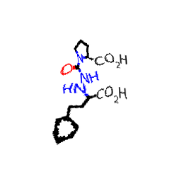 O=C(O)C(CCc1ccccc1)NNC(=O)N1CCC[C@H]1C(=O)O